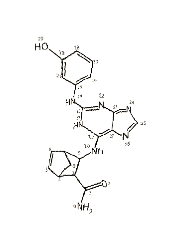 NC(=O)C1C2C=CC(C2)C1Nc1[nH]c(Nc2cccc(O)c2)nc2ncnc1-2